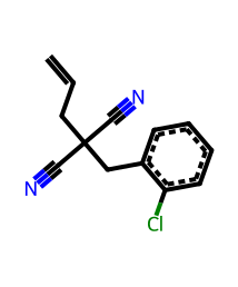 C=CCC(C#N)(C#N)Cc1ccccc1Cl